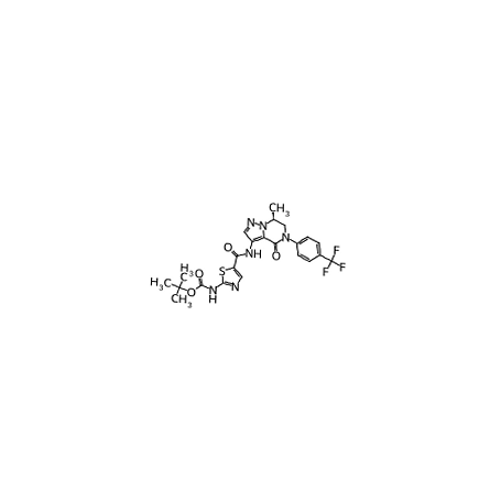 C[C@H]1CN(c2ccc(C(F)(F)F)cc2)C(=O)c2c(NC(=O)c3cnc(NC(=O)OC(C)(C)C)s3)cnn21